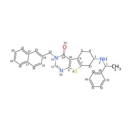 CC(NC1CCc2c(sc3ncn(Cc4ccc5ccccc5c4)c(=O)c23)C1)c1ccccc1